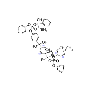 BCC(C)(OP(=O)(Oc1ccccc1)Oc1ccc(C(O)(O)C(/C=C\C(=C)C(CC)(CC)OP(=O)(OC(/C=C\C=C)=C/C)Oc2ccccc2)=C/C)cc1)c1ccccc1